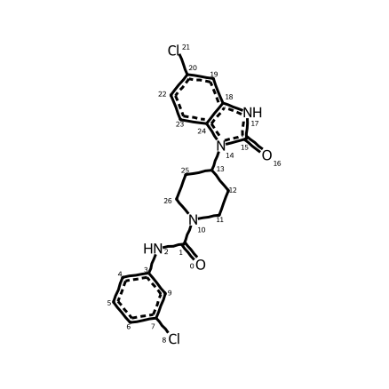 O=C(Nc1cccc(Cl)c1)N1CCC(n2c(=O)[nH]c3cc(Cl)ccc32)CC1